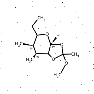 CCC1O[C@@H]2OC(C)(OC)OC2[C@@H](C)[C@H]1C